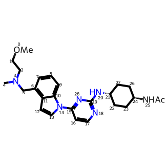 COCCN(C)Cc1cccc2c1ccn2-c1ccnc(N[C@H]2CC[C@H](NC(C)=O)CC2)n1